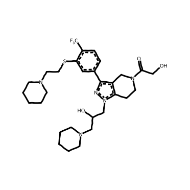 O=C(CO)N1CCc2c(c(-c3ccc(C(F)(F)F)c(SCCN4CCCCC4)c3)nn2CC(O)CN2CCCCC2)C1